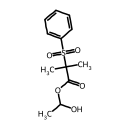 CC(O)OC(=O)C(C)(C)S(=O)(=O)c1ccccc1